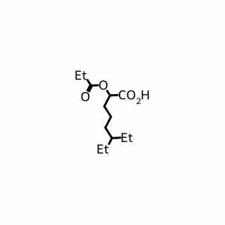 CCC(=O)OC(CCCC(CC)CC)C(=O)O